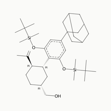 C=C(C)[C@@H]1CC[C@@H](CO)C[C@H]1c1c(O[Si](C)(C)C(C)(C)C)cc(C23CC4CC(CC(C4)C2)C3)cc1O[Si](C)(C)C(C)(C)C